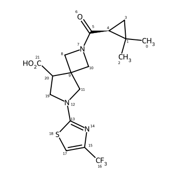 CC1(C)C[C@@H]1C(=O)N1CC2(C1)CN(c1nc(C(F)(F)F)cs1)CC2C(=O)O